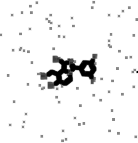 Fc1cc(F)cc(-c2nc(Br)c3c(CBr)c(Br)ccn23)c1